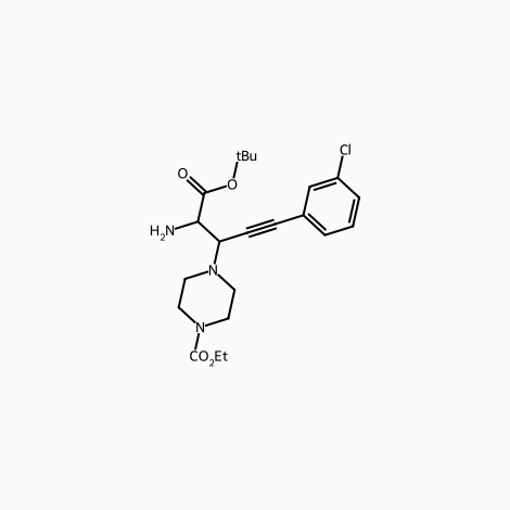 CCOC(=O)N1CCN(C(C#Cc2cccc(Cl)c2)C(N)C(=O)OC(C)(C)C)CC1